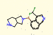 FC(F)c1cncc2cccc(SN3CC4CCNCC4C3)c12